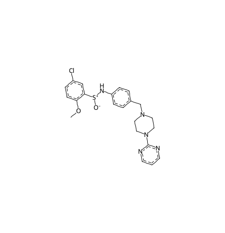 COc1ccc(Cl)cc1[S+]([O-])Nc1ccc(CN2CCN(c3ncccn3)CC2)cc1